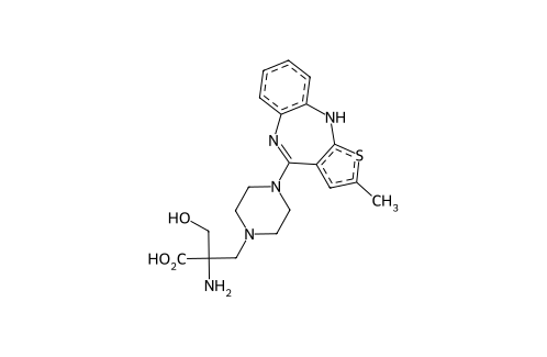 Cc1cc2c(s1)Nc1ccccc1N=C2N1CCN(CC(N)(CO)C(=O)O)CC1